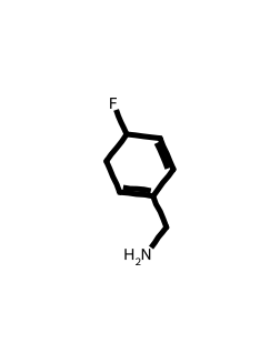 NCC1=CCC(F)C=C1